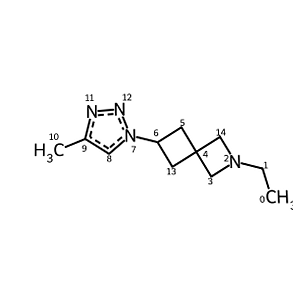 CCN1CC2(CC(n3cc(C)nn3)C2)C1